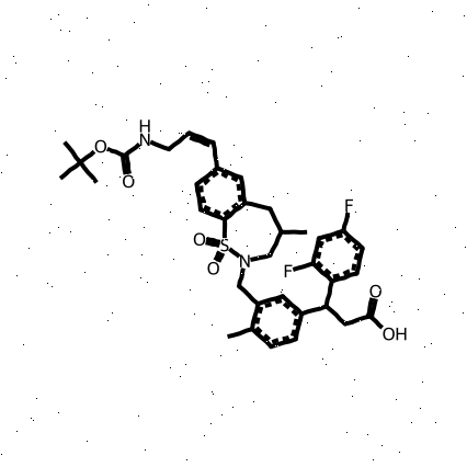 Cc1ccc(C(CC(=O)O)c2ccc(F)cc2F)cc1CN1CC(C)Cc2cc(/C=C\CNC(=O)OC(C)(C)C)ccc2S1(=O)=O